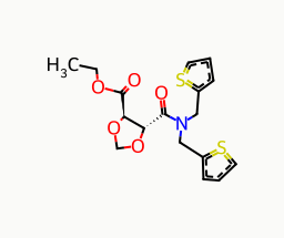 CCOC(=O)[C@@H]1OCO[C@H]1C(=O)N(Cc1cccs1)Cc1cccs1